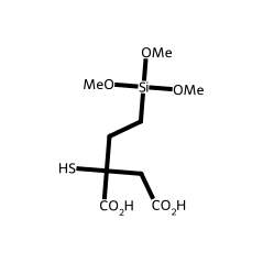 CO[Si](CCC(S)(CC(=O)O)C(=O)O)(OC)OC